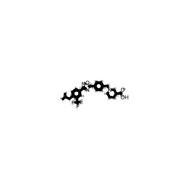 CC(C)Cc1ccc(-c2noc(-c3ccc(CN4CCCC(C(=O)O)C4)cc3)n2)cc1C(F)(F)F